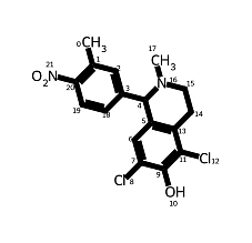 Cc1cc(C2c3cc(Cl)c(O)c(Cl)c3CCN2C)ccc1[N+](=O)[O-]